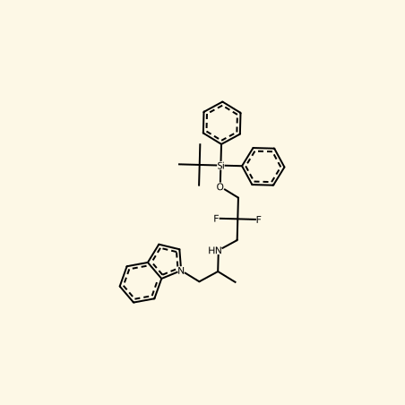 CC(Cn1ccc2ccccc21)NCC(F)(F)CO[Si](c1ccccc1)(c1ccccc1)C(C)(C)C